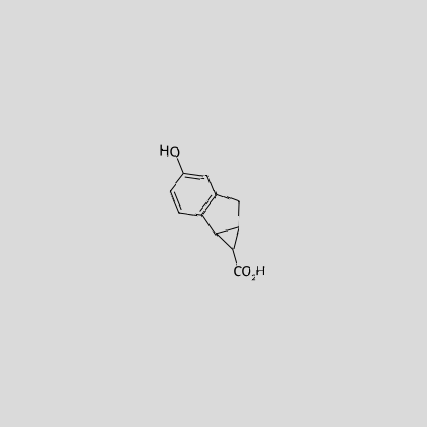 O=C(O)C1C2Cc3cc(O)ccc3C21